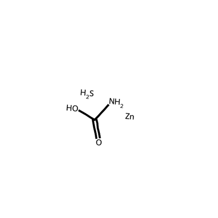 NC(=O)O.S.[Zn]